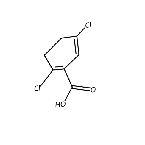 O=C(O)C1=C(Cl)CCC(Cl)=C1